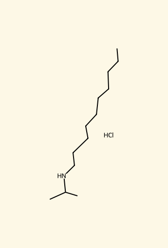 CCCCCCCCCCNC(C)C.Cl